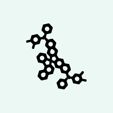 Cc1ccc(N(c2ccccc2)c2ccc3cc4c(cc3c2)C2(c3cc5cc(N(c6ccccc6)c6ccc(C)c(C)c6)ccc5cc3-4)c3ccccc3-c3c2ccc2ccccc32)cc1C